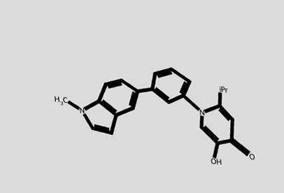 CC(C)c1cc(=O)c(O)cn1-c1cccc(-c2ccc3c(ccn3C)c2)c1